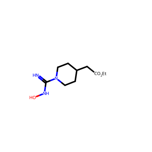 CCOC(=O)CC1CCN(C(=N)NO)CC1